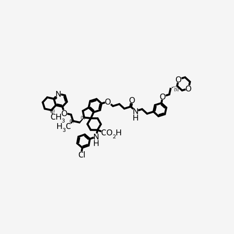 C[C@@H](COc1ccnc2c1[C@H](C)CCC2)C[C@H]1Cc2ccc(OCCCC(=O)NCCc3cccc(OCC[C@H]4COCCO4)c3)cc2C12CCC(Nc1cccc(Cl)c1)(C(=O)O)CC2